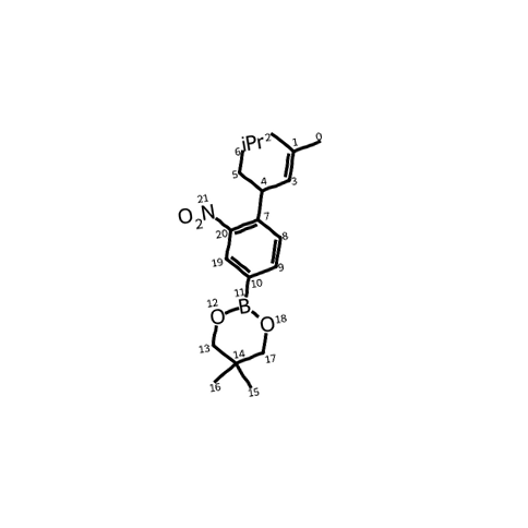 CC(C)=CC(CC(C)C)c1ccc(B2OCC(C)(C)CO2)cc1[N+](=O)[O-]